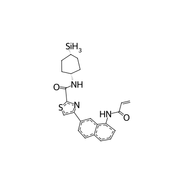 C=CC(=O)Nc1cccc2ccc(-c3csc(C(=O)N[C@H]4CC[C@@H]([SiH3])CC4)n3)cc12